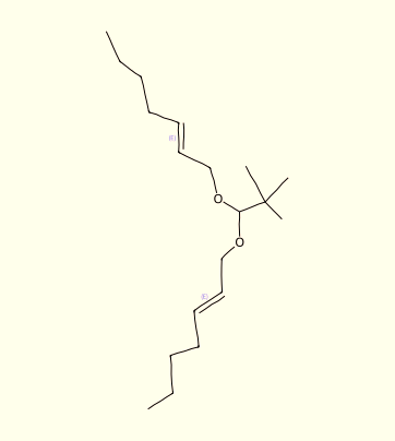 CCCC/C=C/COC(OC/C=C/CCCC)C(C)(C)C